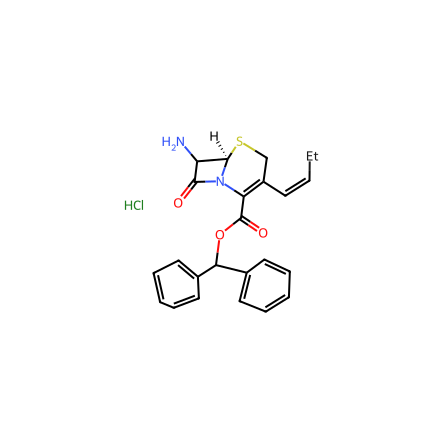 CC/C=C\C1=C(C(=O)OC(c2ccccc2)c2ccccc2)N2C(=O)C(N)[C@H]2SC1.Cl